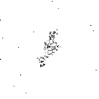 Cc1ccc2c(C3(NC(=O)c4cc(OC[C@H](C)NC(=O)OC(C)(C)C)ccc4C)CC3)cc(OS(=O)(=O)C(F)(F)F)cc2n1